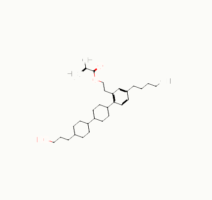 C=C(C)C(=O)OCCc1cc(CCCCC)ccc1C1CCC(C2CCC(CCCO)CC2)CC1